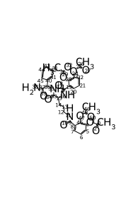 CC(=O)Oc1cccc(C(=O)NCCCC(NC(=O)c2cccc(OC(C)=O)c2OC(C)=O)C(=O)NC(C(N)=O)c2ccccc2)c1OC(C)=O